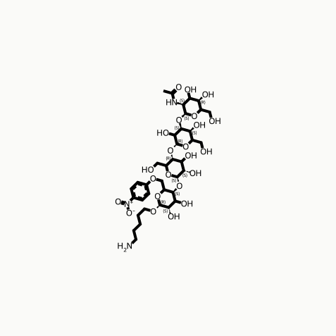 CC(=O)N[C@H]1C(O)[C@@H](O)C(CO)O[C@H]1O[C@@H]1C(O)[C@@H](O[C@H]2C(CO)O[C@@H](O[C@@H]3C(COc4ccc([N+](=O)[O-])cc4)O[C@@H](OCCCCCN)[C@@H](O)C3O)[C@@H](O)C2O)OC(CO)[C@@H]1O